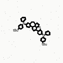 CC(C)(C)c1ccc(N(C2=CC3=C(CC2)c2ccc4c5c(ccc(c25)S3)CCc2cc(N(c3ccccc3)c3ccc(C(C)(C)C)cc3)ccc2-4)c2ccccc2)cc1